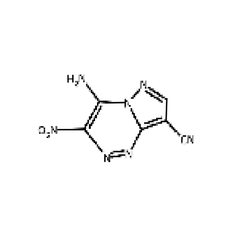 N#Cc1cnn2c(N)c([N+](=O)[O-])nnc12